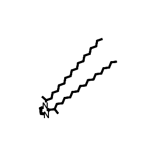 CCCCCCCCCCCCCCCCCC(C)n1ccnc1C(C)CCCCCCCCCCCCCCCC